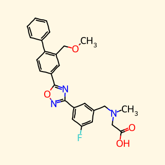 COCc1cc(-c2nc(-c3cc(F)cc(CN(C)CC(=O)O)c3)no2)ccc1-c1ccccc1